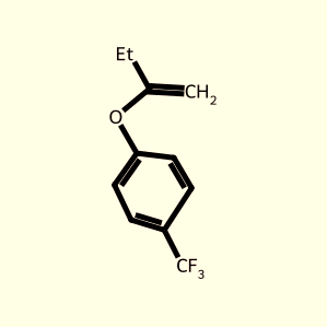 C=C(CC)Oc1ccc(C(F)(F)F)cc1